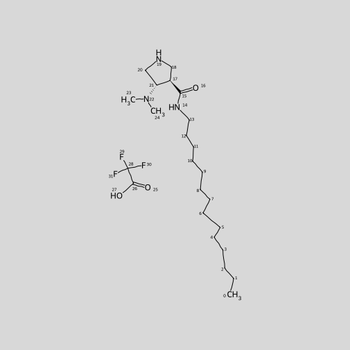 CCCCCCCCCCCCCCNC(=O)[C@@H]1CNC[C@H]1N(C)C.O=C(O)C(F)(F)F